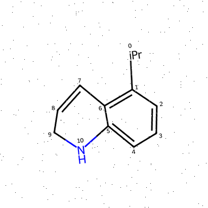 CC(C)c1cccc2c1C=CCN2